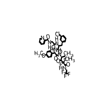 COc1ccc(C(NC(=O)C(Cc2cccc(Cl)c2)NC(=O)CNC(=O)c2ccccn2)C(=O)N[C@H](C(=O)C(F)(F)C(=O)NCC(F)(F)F)C(C)C)cc1